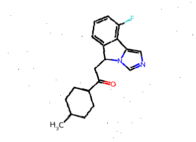 CC1CCC(C(=O)CC2c3cccc(F)c3-c3cncn32)CC1